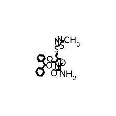 Cc1nnc(SC=CC2=C(C(=O)OC(c3ccccc3)c3ccccc3)N3C(=O)C(N)C3OC2)s1